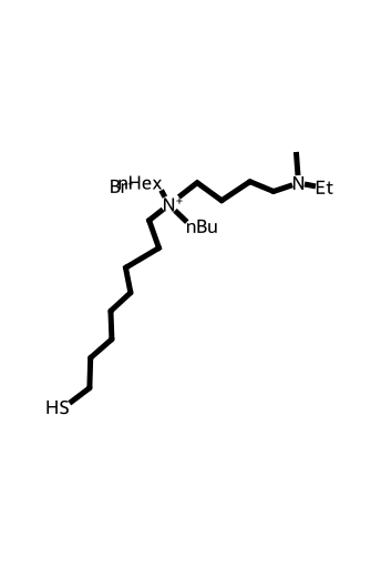 CCCCCC[N+](CCCC)(CCCCCCCCS)CCCCN(C)CC.[Br-]